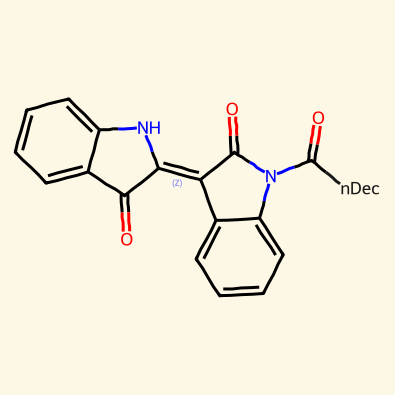 CCCCCCCCCCC(=O)N1C(=O)/C(=C2\Nc3ccccc3C2=O)c2ccccc21